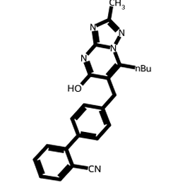 CCCCc1c(Cc2ccc(-c3ccccc3C#N)cc2)c(O)nc2nc(C)nn12